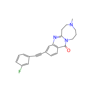 CN1CCCn2c(nc3cc(C#Cc4cccc(F)c4)ccc3c2=O)CC1